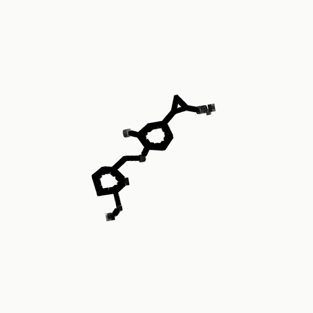 CC(C)Sc1cccc(COc2ccc(C3CC3C(=O)O)cc2Cl)n1